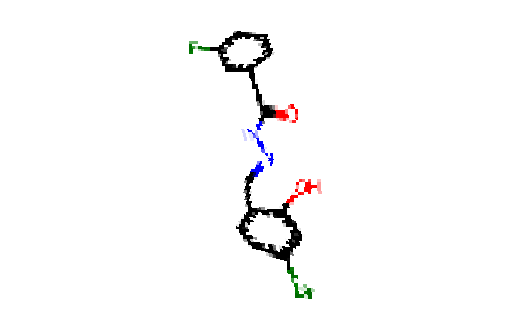 O=C(NN=Cc1ccc(Br)cc1O)c1cccc(F)c1